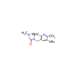 CCCCc1cc(CN2CCN(C)CC2=O)c(C=O)nc1C